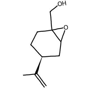 C=C(C)[C@H]1CCC2(CO)OC2C1